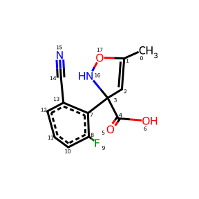 CC1=CC(C(=O)O)(c2c(F)cccc2C#N)NO1